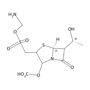 C[C@@H](O)C1C(=O)N2C(OC(=O)O)C(CS(=O)(=O)OCN)S[C@@H]12